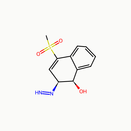 CS(=O)(=O)C1=C[C@H](N=N)[C@H](O)c2ccccc21